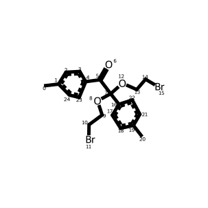 Cc1ccc(C(=O)C(OCCBr)(OCCBr)c2ccc(C)cc2)cc1